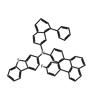 Fc1ccc(-c2cccc3cccc(-c4ccc(N(c5ccc6c(c5)sc5ccccc56)c5ccc6cccc(-c7ccccc7)c6c5)cc4)c23)cc1